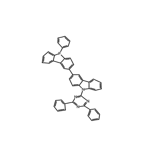 c1ccc(-c2nc(-c3ccccc3)nc(-n3c4ccccc4c4cc(-c5ccc6c(c5)c5ccccc5p6-c5ccccc5)ccc43)n2)cc1